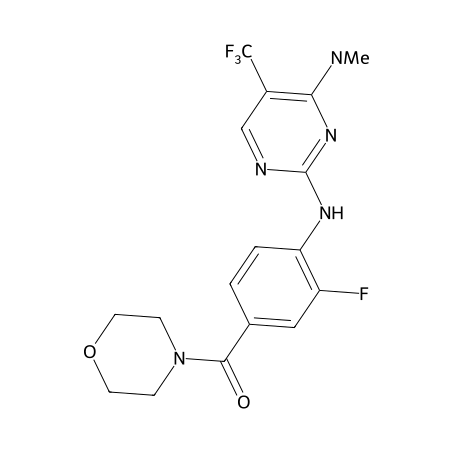 CNc1nc(Nc2ccc(C(=O)N3CCOCC3)cc2F)ncc1C(F)(F)F